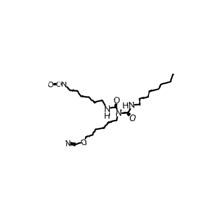 CCCCCCCCNC(=O)N(CCCCCCOC#N)C(=O)NCCCCCCN=C=O